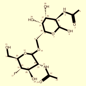 CC(=O)N[C@H]1C(O)O[C@H](COC2O[C@H](CO)[C@@H](F)[C@H](O)[C@H]2NC(C)=O)[C@H](O)[C@@H]1O